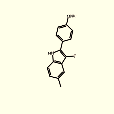 COc1ccc(-c2[nH]c3ccc(C)cc3c2F)cc1